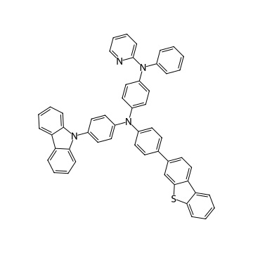 c1ccc(N(c2ccc(N(c3ccc(-c4ccc5c(c4)sc4ccccc45)cc3)c3ccc(-n4c5ccccc5c5ccccc54)cc3)cc2)c2ccccn2)cc1